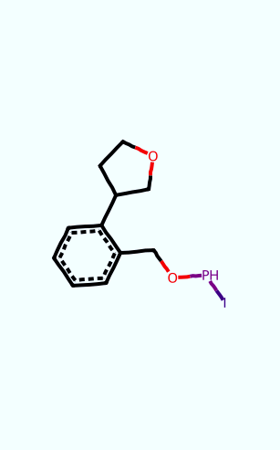 IPOCc1ccccc1C1CCOC1